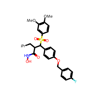 COc1ccc(S(=O)(=O)C(c2ccc(OCc3ccc(F)cc3)cc2)C(CC(C)C)C(=O)NO)cc1OC